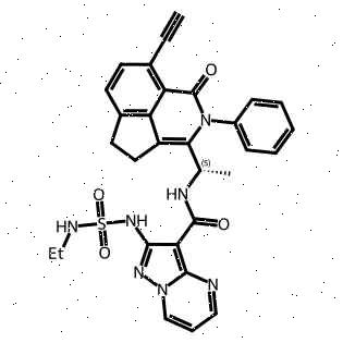 C#Cc1ccc2c3c(c([C@H](C)NC(=O)c4c(NS(=O)(=O)NCC)nn5cccnc45)n(-c4ccccc4)c(=O)c13)CC2